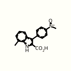 Cc1cccc2c(-c3ccc([N+](C)=O)cc3)c(C(=O)O)[nH]c12